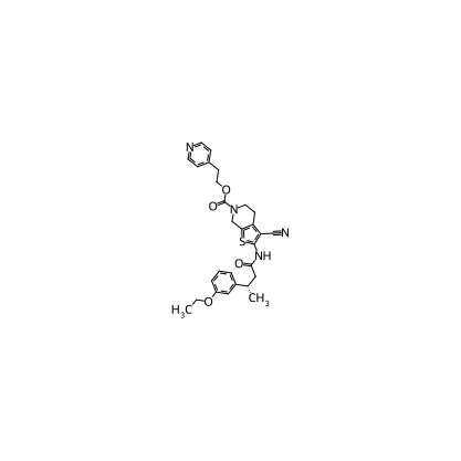 CCOc1cccc([C@@H](C)CC(=O)Nc2sc3c(c2C#N)CCN(C(=O)OCCc2ccncc2)C3)c1